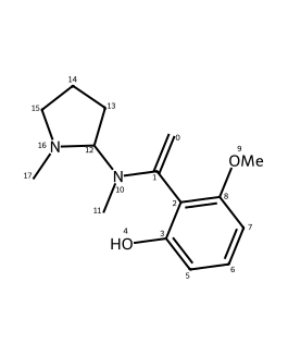 C=C(c1c(O)cccc1OC)N(C)C1CCCN1C